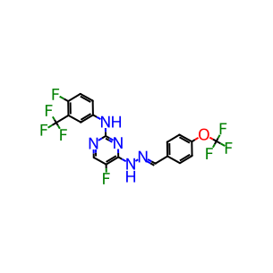 Fc1ccc(Nc2ncc(F)c(NN=Cc3ccc(OC(F)(F)F)cc3)n2)cc1C(F)(F)F